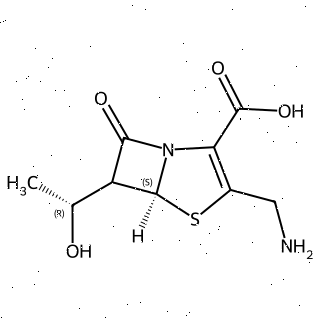 C[C@@H](O)C1C(=O)N2C(C(=O)O)=C(CN)S[C@@H]12